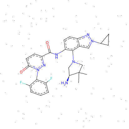 CC1(C)CN(c2c(NC(=O)c3ccc(=O)n(-c4c(F)cccc4F)n3)ccc3nn(C4CC4)cc23)C[C@@H]1N